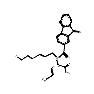 NC(=O)[C@H](CCC(=O)O)N(CCCCCCO)C(=O)c1ccc2c(c1)C(=O)c1ccccc1-2